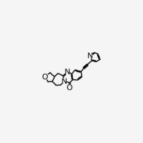 O=c1c2ccc(C#Cc3ccccn3)cc2nc2n1CCC1COCC1C2